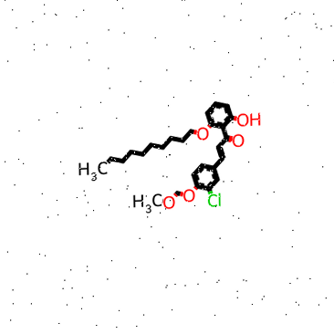 CCCCCCCCCCOc1cccc(O)c1C(=O)/C=C/c1ccc(OCOC)c(Cl)c1